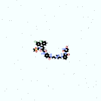 CC(C)S(=O)(=O)C[C@H](C)N1C(=O)[C@@](C)(CC(=O)Nc2ccc(C(=O)NCCCn3cnc(CNc4cccc5c4CN(C4CCC(=O)NC4=O)C5=O)c3)cc2)C[C@H](c2cccc(Cl)c2)[C@H]1c1ccc(Cl)cc1